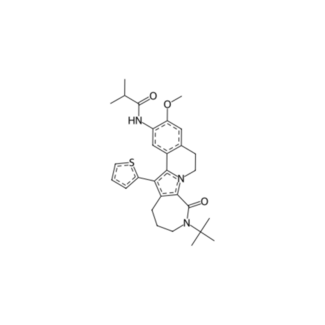 COc1cc2c(cc1NC(=O)C(C)C)-c1c(-c3cccs3)c3c(n1CC2)C(=O)N(C(C)(C)C)CCC3